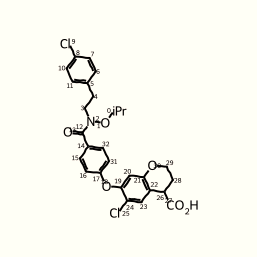 CC(C)ON(CCc1ccc(Cl)cc1)C(=O)c1ccc(Oc2cc3c(cc2Cl)C(C(=O)O)CCO3)cc1